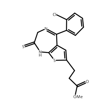 COC(=O)CCc1cc2c(s1)NC(=S)CN=C2c1ccccc1Cl